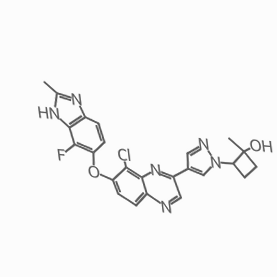 Cc1nc2ccc(Oc3ccc4ncc(-c5cnn(C6CCC6(C)O)c5)nc4c3Cl)c(F)c2[nH]1